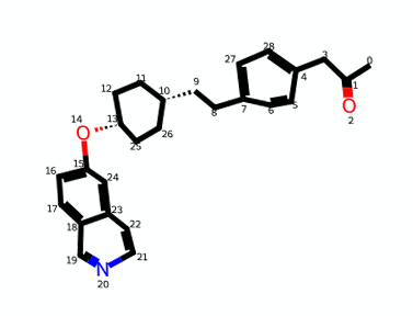 CC(=O)Cc1ccc(CC[C@H]2CC[C@@H](Oc3ccc4cnccc4c3)CC2)cc1